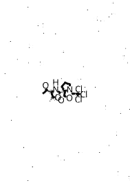 CC(=O)[C@H]1NC([C@]23CCCN2C(C(Cl)(Cl)Cl)OC3=O)O[C@@H]1C